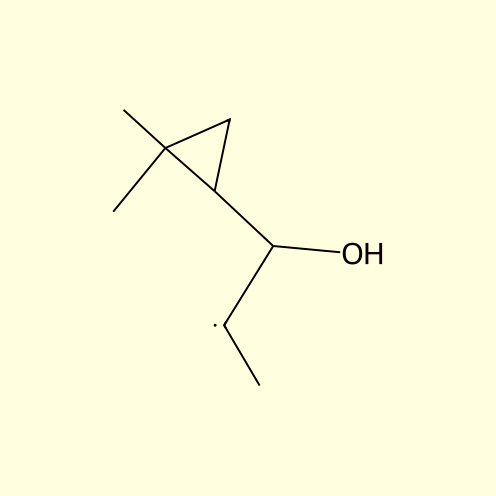 C[CH]C(O)C1CC1(C)C